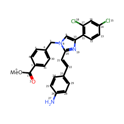 COC(=O)c1ccc(Cn2cc(-c3ccc(Cl)cc3Cl)nc2C=Cc2ccc(N)cc2)cc1